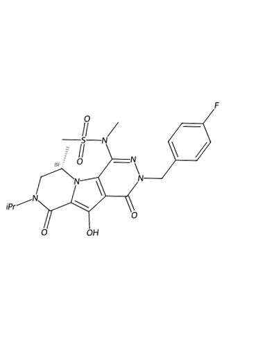 CC(C)N1C[C@H](C)n2c(c(O)c3c(=O)n(Cc4ccc(F)cc4)nc(N(C)S(C)(=O)=O)c32)C1=O